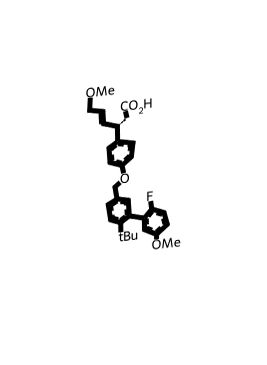 COCC=C[C@H](CC(=O)O)c1ccc(OCc2ccc(C(C)(C)C)c(-c3cc(OC)ccc3F)c2)cc1